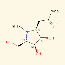 CCCCCCN1[C@H](CO)[C@H](O)[C@H](O)[C@@H]1CC(=O)NC